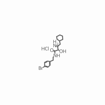 Cl.N[C@H](CC1CCCCC1)C(O)C(=O)NCCc1ccc(Br)cc1